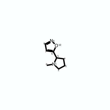 CN1CCCC1c1ccno1